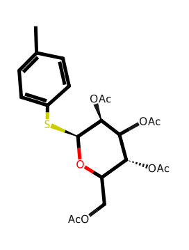 CC(=O)OCC1O[C@@H](Sc2ccc(C)cc2)[C@@H](OC(C)=O)C(OC(C)=O)[C@@H]1OC(C)=O